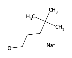 CC(C)(C)CCC[O-].[Na+]